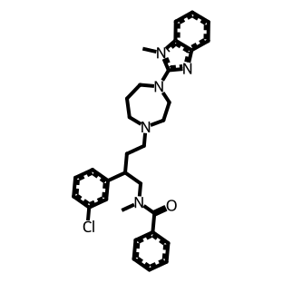 CN(CC(CCN1CCCN(c2nc3ccccc3n2C)CC1)c1cccc(Cl)c1)C(=O)c1ccccc1